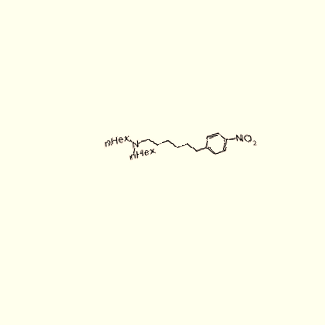 CCCCCCN(CCCCCC)CCCCCCc1ccc([N+](=O)[O-])cc1